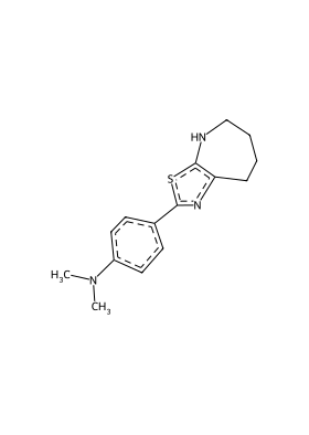 CN(C)c1ccc(-c2nc3c(s2)NCCCC3)cc1